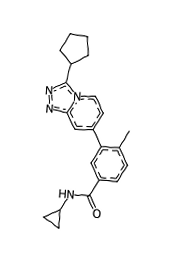 Cc1ccc(C(=O)NC2CC2)cc1-c1ccn2c(C3CCCC3)nnc2c1